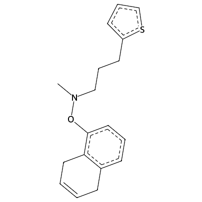 CN(CCCc1cccs1)Oc1cccc2c1CC=CC2